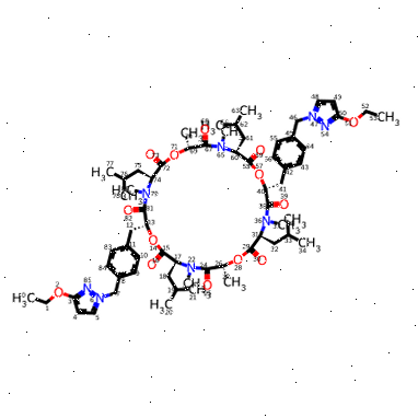 CCOc1ccn(Cc2ccc(C[C@H]3OC(=O)[C@H](CC(C)C)N(C)C(=O)[C@@H](C)OC(=O)[C@H](CC(C)C)N(C)C(=O)[C@@H](Cc4ccc(Cn5ccc(OCC)n5)cc4)OC(=O)[C@H](CC(C)C)N(C)C(=O)[C@@H](C)OC(=O)[C@H](CC(C)C)N(C)C3=O)cc2)n1